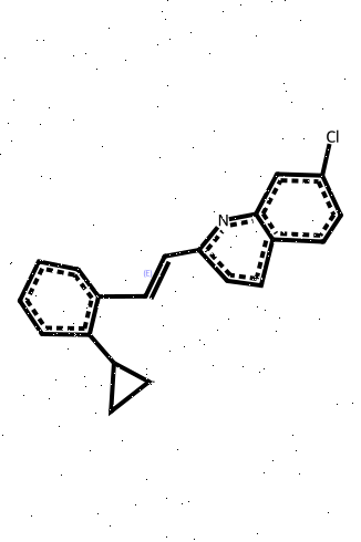 Clc1ccc2ccc(/C=C/c3ccccc3C3[CH]C3)nc2c1